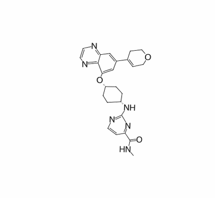 CNC(=O)c1ccnc(N[C@H]2CC[C@@H](Oc3cc(C4=CCOCC4)cc4nccnc34)CC2)n1